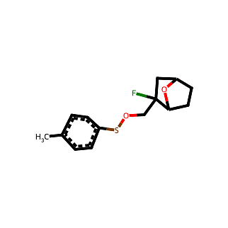 Cc1ccc(SOCC2(F)CC3CCC2O3)cc1